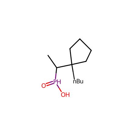 CCCCC1(C(C)[PH](=O)O)CCCC1